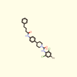 CC(=O)c1cc(Cl)c(NC(O)N2CCC(c3ccc(NC(=O)CCCc4ccccc4)cc3)CC2)c(Cl)c1